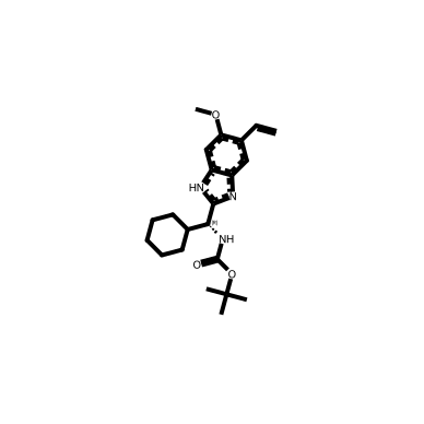 C=Cc1cc2nc([C@H](NC(=O)OC(C)(C)C)C3CCCCC3)[nH]c2cc1OC